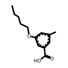 CCCCCOc1cc(C)cc(C(=O)O)c1